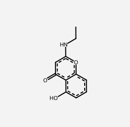 CCNc1cc(=O)c2c(O)cccc2o1